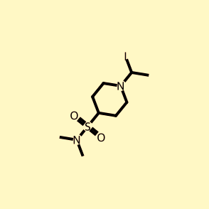 CC(I)N1CCC(S(=O)(=O)N(C)C)CC1